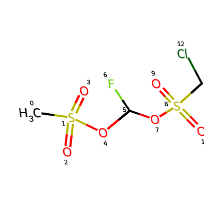 CS(=O)(=O)OC(F)OS(=O)(=O)CCl